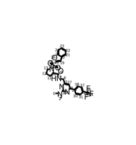 CN(C)c1nc(CNC(=O)C2CCCN2S(=O)(=O)c2cc3ccccc3o2)cc(-c2ccc(C(F)(F)F)cc2)n1